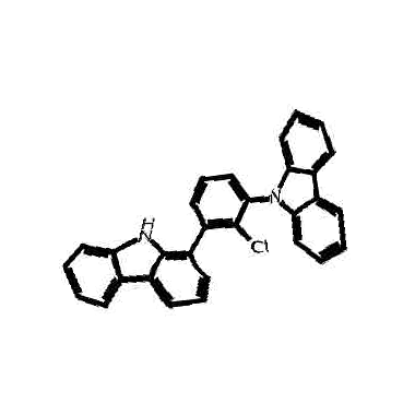 Clc1c(-c2cccc3c2[nH]c2ccccc23)cccc1-n1c2ccccc2c2ccccc21